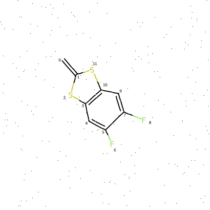 C=C1Sc2cc(F)c(F)cc2S1